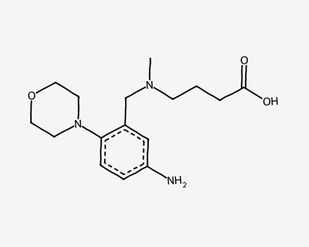 CN(CCCC(=O)O)Cc1cc(N)ccc1N1CCOCC1